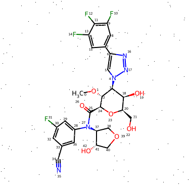 CO[C@@H]1[C@@H](n2cc(-c3cc(F)c(F)c(F)c3)nn2)[C@@H](O)[C@@H](CO)O[C@H]1C(=O)N(c1cc(F)cc(C#N)c1)[C@H]1COC[C@@H]1O